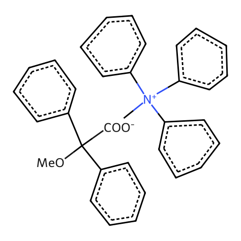 COC(C(=O)[O-])(c1ccccc1)c1ccccc1.C[N+](c1ccccc1)(c1ccccc1)c1ccccc1